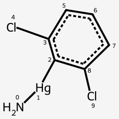 [NH2][Hg][c]1c(Cl)cccc1Cl